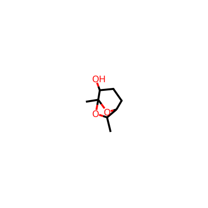 CC1OC2(C)OC1CCC2O